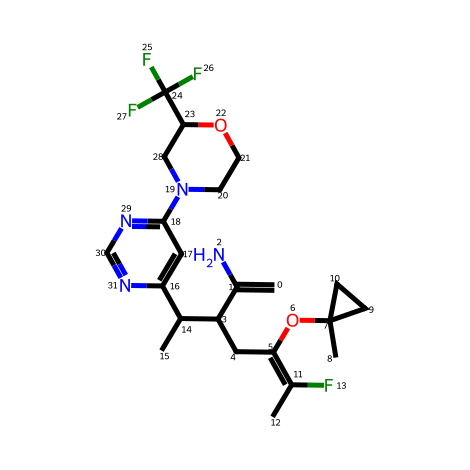 C=C(N)C(C/C(OC1(C)CC1)=C(\C)F)C(C)c1cc(N2CCOC(C(F)(F)F)C2)ncn1